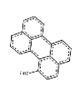 O=[C]c1ccc2cccc3c4cccc5cccc(c1c23)c54